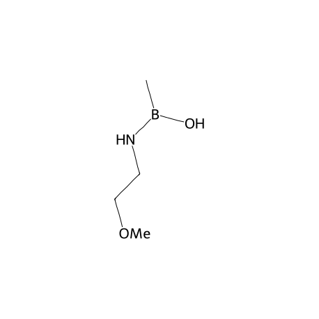 COCCNB(C)O